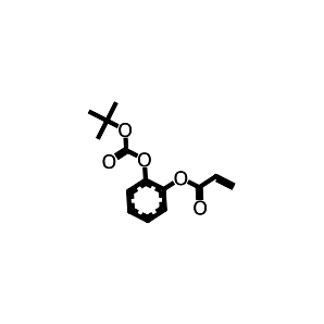 C=CC(=O)Oc1ccccc1OC(=O)OC(C)(C)C